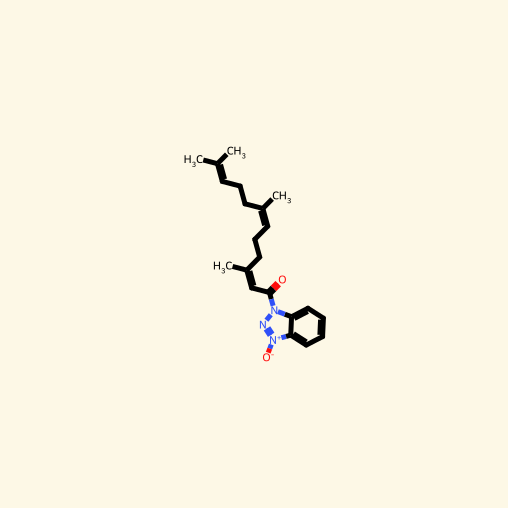 CC(C)=CCCC(C)=CCCC(C)=CC(=O)n1n[n+]([O-])c2ccccc21